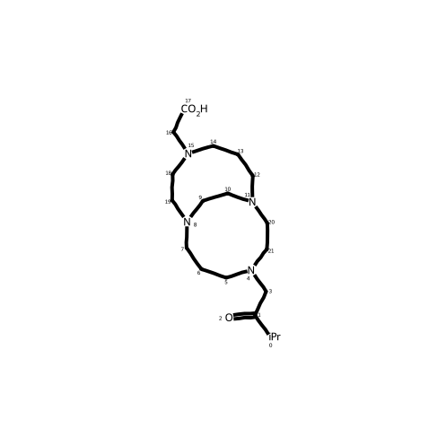 CC(C)C(=O)CN1CCCN2CCN(CCCN(CC(=O)O)CC2)CC1